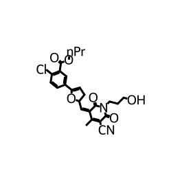 CCCOC(=O)c1cc(C2=CCC(/C=C3\C(=O)N(CCCO)C(=O)C(C#N)=C3C)O2)ccc1Cl